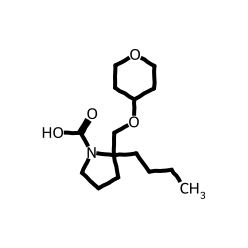 CCCCC1(COC2CCOCC2)CCCN1C(=O)O